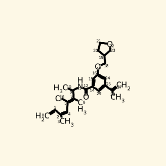 C=C/C(C)=C\C(Cl)=C(/C)C(C)NC(=O)c1cc(OCC2CCOC2)cc(C(=C)C)c1